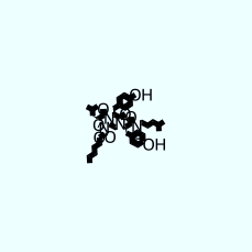 CCCCCOC(=O)N1O[C@H](CC(C)C)C(=O)N2C1CN([C@@H](Cc1ccc(O)cc1)C(=O)NCCCC(C)C)C(=O)[C@@H]2Cc1ccc(O)cc1